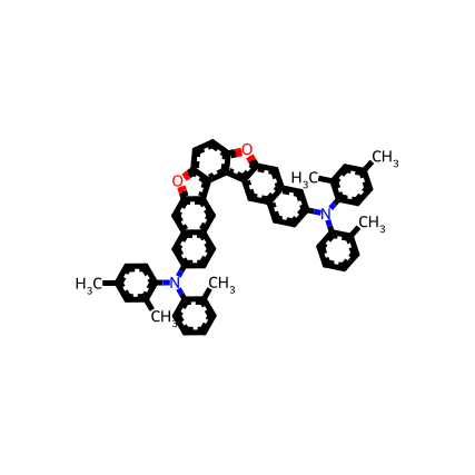 Cc1ccc(N(c2ccc3cc4c(cc3c2)oc2ccc3oc5cc6cc(N(c7ccccc7C)c7ccc(C)cc7C)ccc6cc5c3c24)c2ccccc2C)c(C)c1